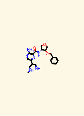 CN/C=C(\C=N)c1cnc(N)c(C(=O)N[C@H]2COCC2OCc2ccccc2)n1